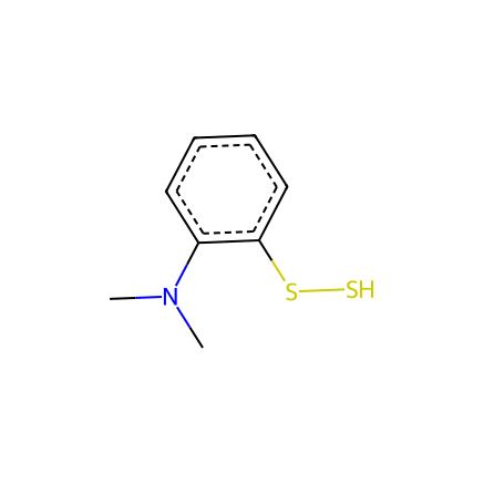 CN(C)c1ccccc1SS